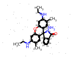 CCNc1cc2c(cc1C)C1(c3cc(C)c(NCC)cc3O2)c2ccccc2C(=O)N1N